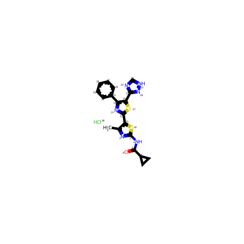 Cc1nc(NC(=O)C2CC2)sc1-c1nc(-c2ccccc2)c(-c2nc[nH]n2)s1.Cl